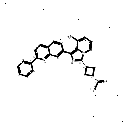 Nc1cccn2c1c(-c1ccc3ccc(-c4ccccc4)nc3c1)nc2[C@H]1C[C@@H](C(N)=O)C1